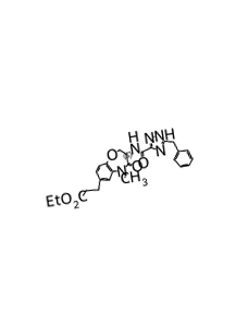 CCOC(=O)CCc1ccc2c(c1)N(C)C(=O)[C@@H](NC(=O)c1n[nH]c(Cc3ccccc3)n1)CO2